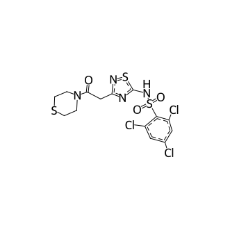 O=C(Cc1nsc(NS(=O)(=O)c2c(Cl)cc(Cl)cc2Cl)n1)N1CCSCC1